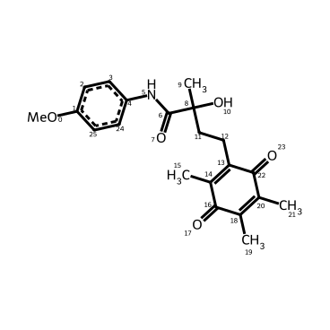 COc1ccc(NC(=O)C(C)(O)CCC2=C(C)C(=O)C(C)=C(C)C2=O)cc1